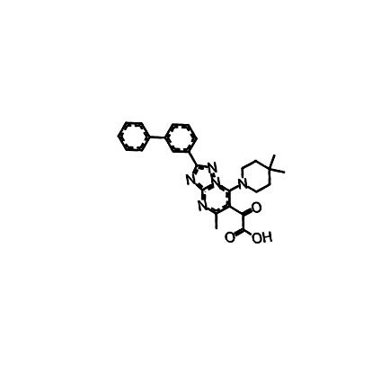 Cc1nc2nc(-c3cccc(-c4ccccc4)c3)nn2c(N2CCC(C)(C)CC2)c1C(=O)C(=O)O